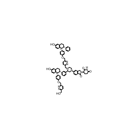 O=C1CC[C@@H](N2Cc3cc(N4CCN(Cc5ccc(COc6ccc([C@@H]7c8ccc(O)cc8CC[C@@H]7c7ccccc7)cc6)nn5)C(c5cccc([C@H]6CCc7cc(O)ccc7[C@H]6c6ccc(OCc7ccc(CO)nn7)cc6)c5)C4)ccc3C2=O)C(=O)N1